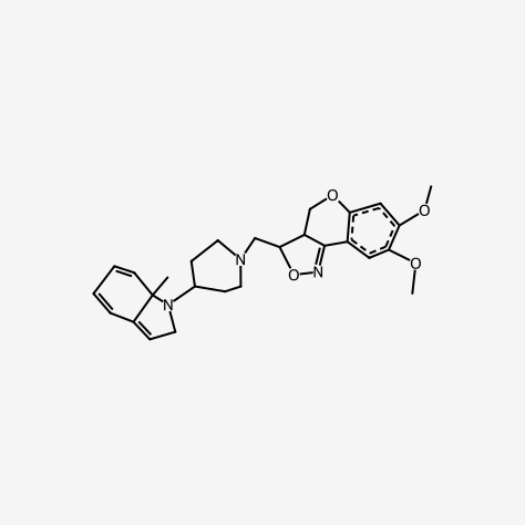 COc1cc2c(cc1OC)C1=NOC(CN3CCC(N4CC=C5C=CC=CC54C)CC3)C1CO2